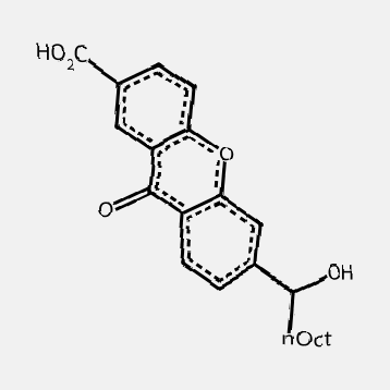 CCCCCCCCC(O)c1ccc2c(=O)c3cc(C(=O)O)ccc3oc2c1